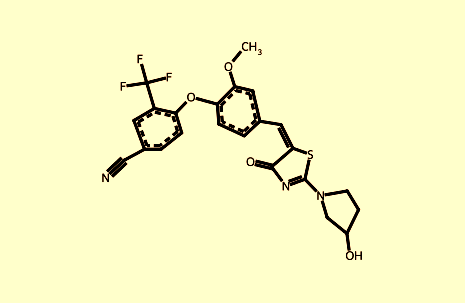 COc1cc(C=C2SC(N3CCC(O)C3)=NC2=O)ccc1Oc1ccc(C#N)cc1C(F)(F)F